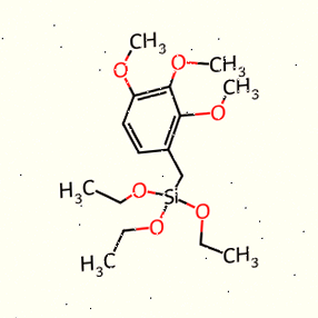 CCO[Si](Cc1ccc(OC)c(OC)c1OC)(OCC)OCC